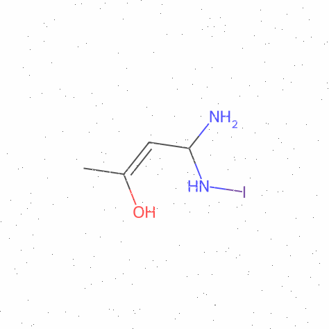 C/C(O)=C/C(N)NI